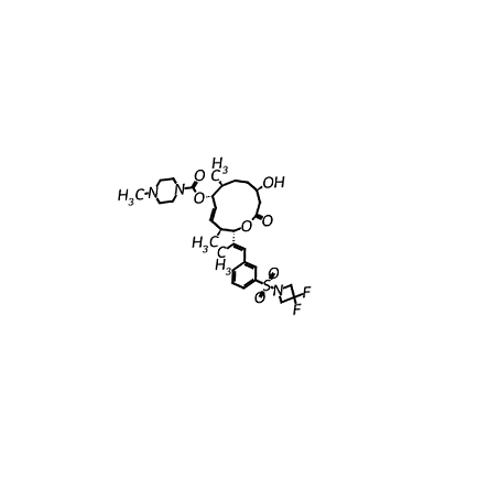 C/C(=C\c1cccc(S(=O)(=O)N2CC(F)(F)C2)c1)[C@H]1OC(=O)C[C@H](O)CC[C@H](C)[C@@H](OC(=O)N2CCN(C)CC2)/C=C/[C@@H]1C